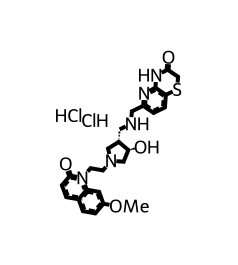 COc1ccc2ccc(=O)n(CCN3C[C@H](CNCc4ccc5c(n4)NC(=O)CS5)[C@H](O)C3)c2c1.Cl.Cl